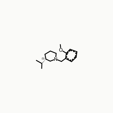 COc1ccccc1CN1CCC[C@@H](C(C)C)C1